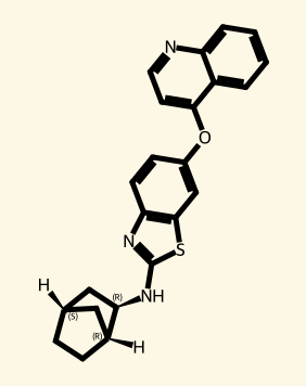 c1ccc2c(Oc3ccc4nc(N[C@@H]5C[C@H]6CC[C@@H]5C6)sc4c3)ccnc2c1